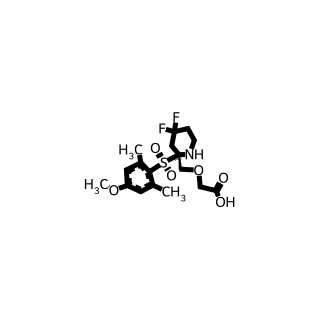 COc1cc(C)c(S(=O)(=O)[C@]2(COCC(=O)O)CC(F)(F)CCN2)c(C)c1